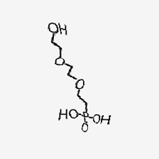 O=P(O)(O)CCOCCOCCO